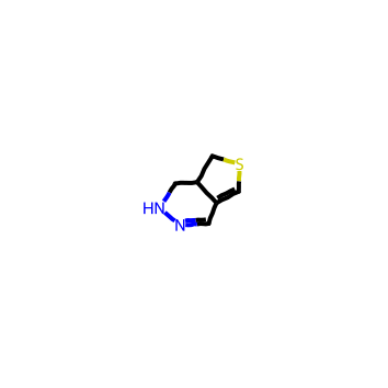 C1=NNCC2CSC=C12